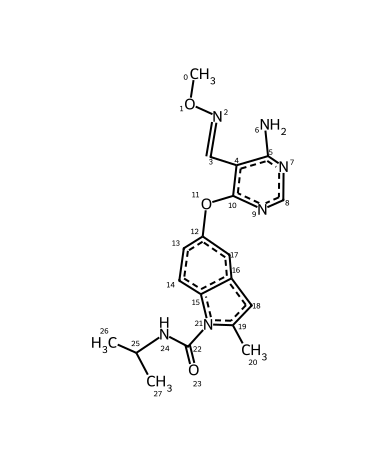 CON=Cc1c(N)ncnc1Oc1ccc2c(c1)cc(C)n2C(=O)NC(C)C